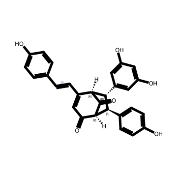 O=C1C=C(/C=C/c2ccc(O)cc2)[C@@H]2C(=O)[C@H]1[C@H](c1ccc(O)cc1)[C@H]2c1cc(O)cc(O)c1